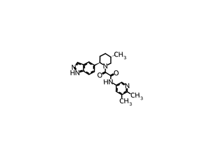 Cc1cc(NC(=O)C(=O)N2C[C@@H](C)CC[C@@H]2c2ccc3[nH]ncc3c2)cnc1C